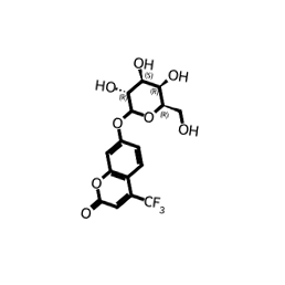 O=c1cc(C(F)(F)F)c2ccc(OC3O[C@H](CO)[C@H](O)[C@H](O)[C@H]3O)cc2o1